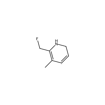 CC1=C(CF)NCC=[C]1